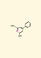 CCCc1cc(-c2ccccc2)cc(CCC)p1